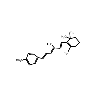 CC1=C(/C=C/C(C)=C/C=C/c2ccc(C(=O)O)cc2)C(C)(C)CCC1